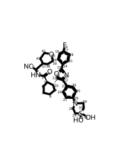 N#CC(NC(=O)[C@@H]1CCCC[C@H]1c1oc(-c2ccc(F)cc2)nc1-c1ccc(N2CCS(O)(O)CC2)cc1)C1CCOCC1